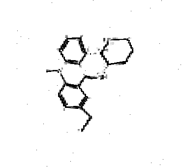 CCc1ccc(OC)c(CN[C@H]2CCCN[C@H]2c2ccccc2)c1